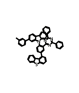 Cc1cccc(-c2ccc3c4ccccc4n(-c4ccc(-c5cccc6sc7ccccc7c56)cc4-c4nc(-c5ccccc5)nc(-c5ccccc5)n4)c3c2)c1